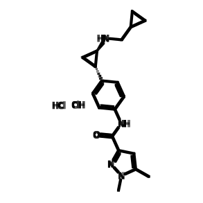 Cc1cc(C(=O)Nc2ccc([C@@H]3C[C@H]3NCC3CC3)cc2)nn1C.Cl.Cl